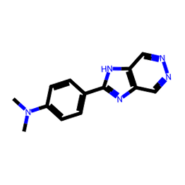 CN(C)c1ccc(-c2nc3cnncc3[nH]2)cc1